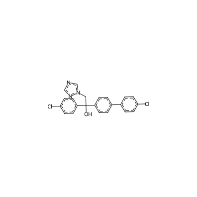 OC(Cn1cncn1)(c1ccc(Cl)cc1)c1ccc(-c2ccc(Cl)cc2)cc1